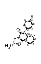 CC1Cc2c(c3cccnc3n(-c3ccc(F)cc3)c2=O)O1